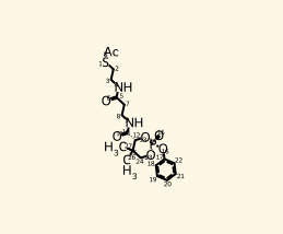 CC(=O)SCCNC(=O)CCNC(=O)[C@@H]1OP(=O)(Oc2ccccc2)OCC1(C)C